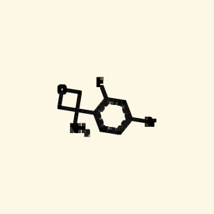 NC1(c2ccc(Br)cc2F)COC1